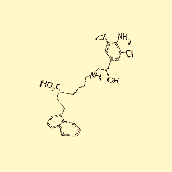 Nc1c(Cl)cc(C(O)CNCCCCC(CCc2cccc3ccccc23)C(=O)O)cc1Cl